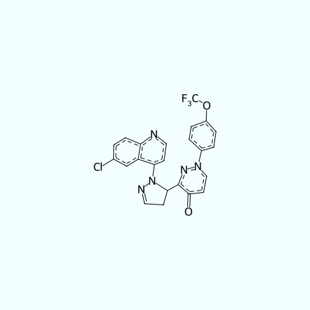 O=c1ccn(-c2ccc(OC(F)(F)F)cc2)nc1C1CC=NN1c1ccnc2ccc(Cl)cc12